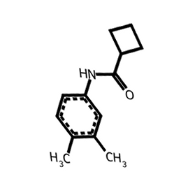 Cc1ccc(NC(=O)C2CCC2)cc1C